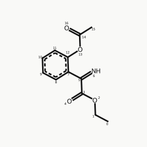 CCOC(=O)C(=N)c1ccccc1OC(C)=O